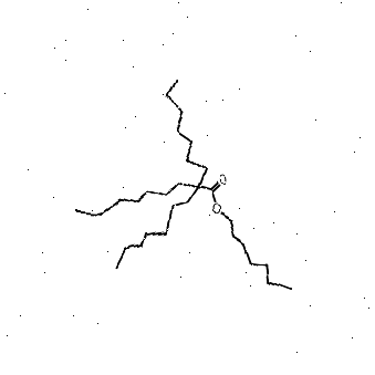 CCCCCCCOC(=O)C(CCCCCCC)(CCCCCCC)CCCCCCC